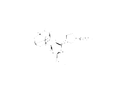 CN[C@@H]1CCN(c2cc(C34CC5CC(CC(C5)C3)C4)nc(N)n2)C1